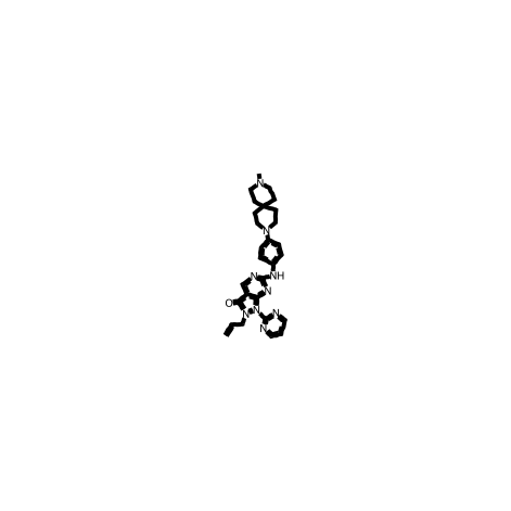 C=CCn1c(=O)c2cnc(Nc3ccc(N4CCC5(CCN(C)CC5)CC4)cc3)nc2n1-c1ncccn1